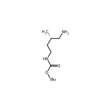 C[C@H](CN)CCNC(=O)OC(C)(C)C